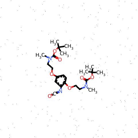 CN(CCOc1ccc(OCCN(C)C(=O)OC(C)(C)C)c(N=C=O)c1)C(=O)OC(C)(C)C